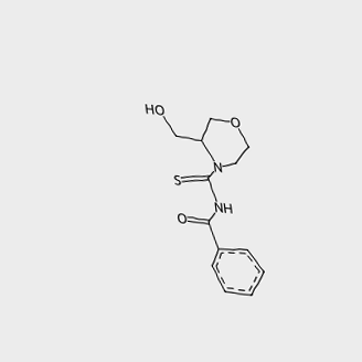 O=C(NC(=S)N1CCOCC1CO)c1ccccc1